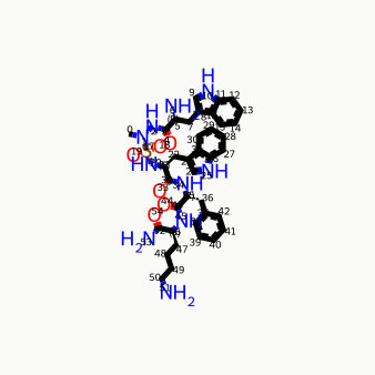 CN(NC(=O)[C@H](N)Cc1c[nH]c2ccccc12)S(=O)(=O)N[C@@H](Cc1c[nH]c2ccccc12)C(=O)N[C@H](Cc1ccccc1)C(=O)N[C@@H](CCCCN)C(N)=O